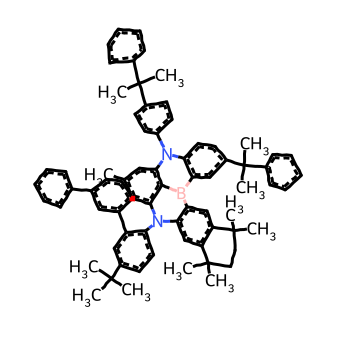 Cc1cc2c3c(c1)N(c1ccc(C(C)(C)C)cc1-c1cccc(-c4ccccc4)c1)c1cc4c(cc1B3c1cc(C(C)(C)c3ccccc3)ccc1N2c1ccc(C(C)(C)c2ccccc2)cc1)C(C)(C)CCC4(C)C